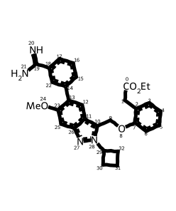 CCOC(=O)Cc1ccccc1OCc1c2cc(-c3cccc(C(=N)N)c3)c(OC)cc2nn1C1CCC1